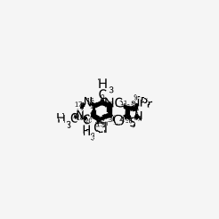 Cc1cc(Oc2snc(C(C)C)c2C#N)c(Cl)cc1/N=C\N(C)C